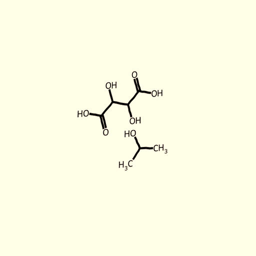 CC(C)O.O=C(O)C(O)C(O)C(=O)O